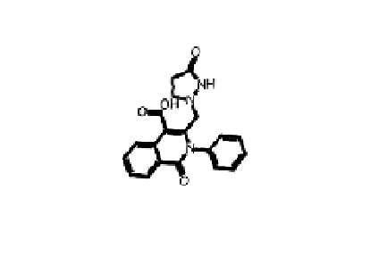 O=C1CCN(Cc2c(C(=O)O)c3ccccc3c(=O)n2-c2ccccc2)N1